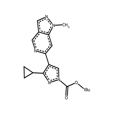 Cn1ncc2cnc(-c3cn(C(=O)OC(C)(C)C)nc3C3CC3)cc21